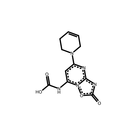 O=C(O)Nc1cc(N2CC=CCC2)nc2nc(=O)on12